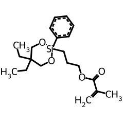 C=C(C)C(=O)OCCC[Si]1(c2ccccc2)OCC(CC)(CC)CO1